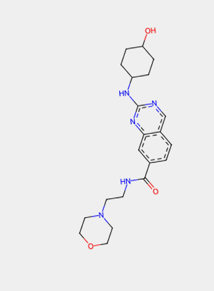 O=C(NCCN1CCOCC1)c1ccc2cnc(NC3CCC(O)CC3)nc2c1